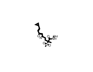 CC(CCc1cc(C=CC2CC2)on1)(C(=O)NO)S(C)(=O)=O